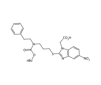 CCCCOC(=O)N(CCCSc1nc2cc([N+](=O)[O-])ccc2n1CC(=O)O)CCc1ccccc1